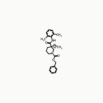 CNC1(C(=O)Nc2c(C)cccc2C)CCCN(C(=O)OCc2ccccc2)C1